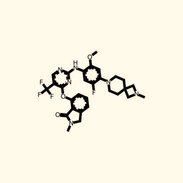 COc1cc(N2CCC3(CC2)CN(C)C3)c(F)cc1Nc1ncc(C(F)(F)F)c(Oc2cccc3c2C(=O)N(C)C3)n1